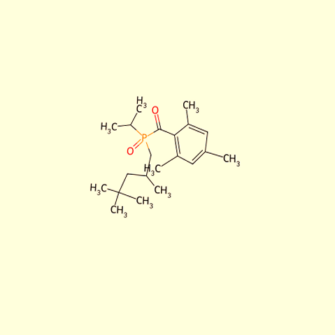 Cc1cc(C)c(C(=O)P(=O)(CC(C)CC(C)(C)C)C(C)C)c(C)c1